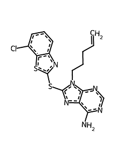 C=CCCCn1c(Sc2nc3cccc(Cl)c3s2)nc2c(N)ncnc21